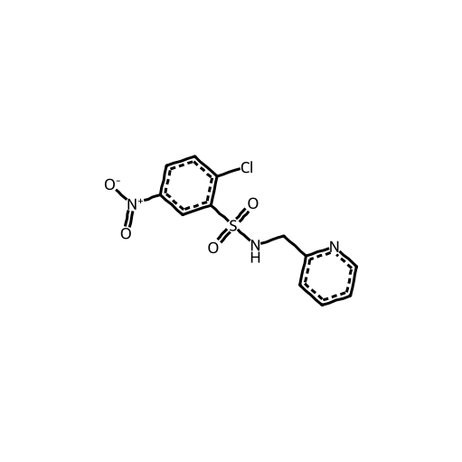 O=[N+]([O-])c1ccc(Cl)c(S(=O)(=O)NCc2ccccn2)c1